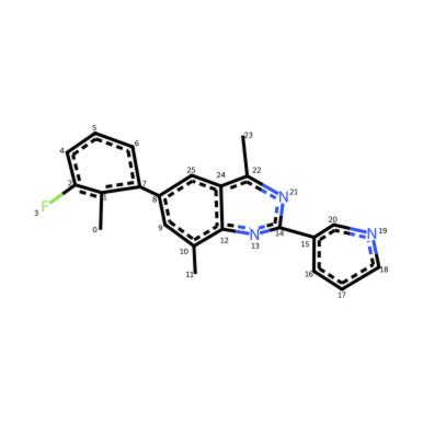 Cc1c(F)cccc1-c1cc(C)c2nc(-c3cccnc3)nc(C)c2c1